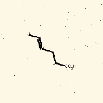 [CH2]C=CCCC(=O)O